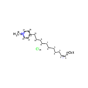 CCCCCCCC/C=C\CCCCCCCCCc1cc[n+](C)cc1.[Cl-]